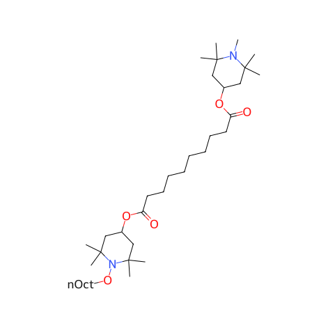 CCCCCCCCON1C(C)(C)CC(OC(=O)CCCCCCCCC(=O)OC2CC(C)(C)N(C)C(C)(C)C2)CC1(C)C